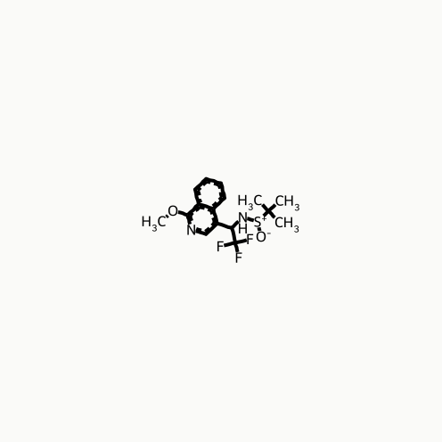 COc1ncc(C(N[S+]([O-])C(C)(C)C)C(F)(F)F)c2ccccc12